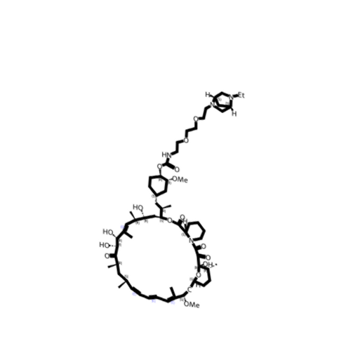 CCN1C[C@@H]2C[C@H]1CN2CCOCCOCCNC(=O)O[C@@H]1CC[C@@H](C[C@@H](C)[C@@H]2C[C@@H](O)[C@H](C)/C=C(\C)[C@@H](O)[C@@H](O)C(=O)[C@H](C)C[C@H](C)/C=C/C=C/C=C(\C)[C@@H](OC)C[C@@H]3CC[C@@H](C)[C@@](O)(O3)C(=O)C(=O)N3CCCC[C@H]3C(=O)O2)C[C@H]1OC